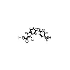 CNc1ccc(Oc2ccc3c(c2)N(C)C(C(=O)O)C3)nc1